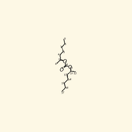 CCCCCC(C)OC(=O)OC(C)CCCCC